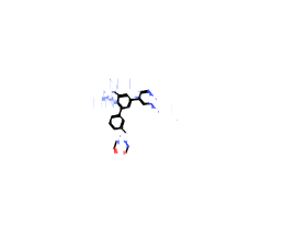 Nc1cc(-c2cc(-c3cccc(CN4CCOCC4)c3)c3[nH]nc(N)c3c2)ccn1